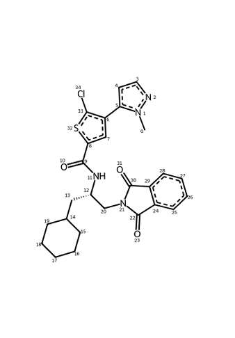 Cn1nccc1-c1cc(C(=O)N[C@@H](CC2CCCCC2)CN2C(=O)c3ccccc3C2=O)sc1Cl